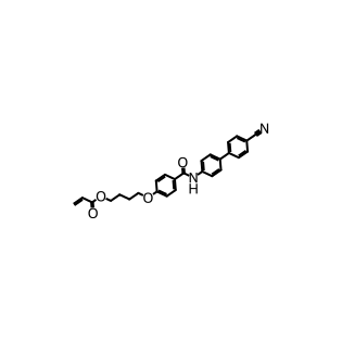 C=CC(=O)OCCCCOc1ccc(C(=O)Nc2ccc(-c3ccc(C#N)cc3)cc2)cc1